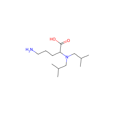 CC(C)CN(CC(C)C)C(CCCN)C(=O)O